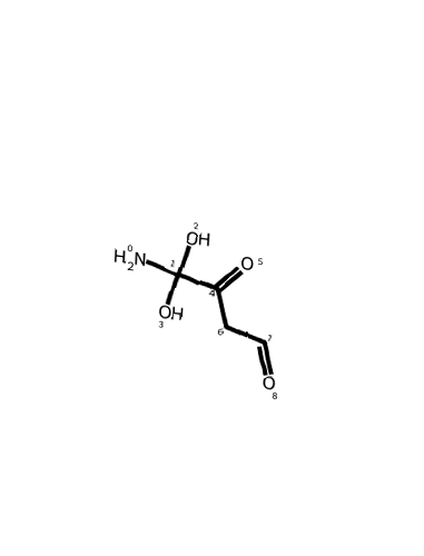 NC(O)(O)C(=O)CC=O